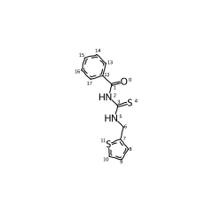 O=C(NC(=S)NCc1cccs1)c1ccccc1